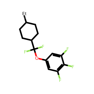 CCC1CCC(C(F)(F)Oc2cc(F)c(F)c(F)c2)CC1